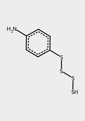 Nc1ccc(SSSS)cc1